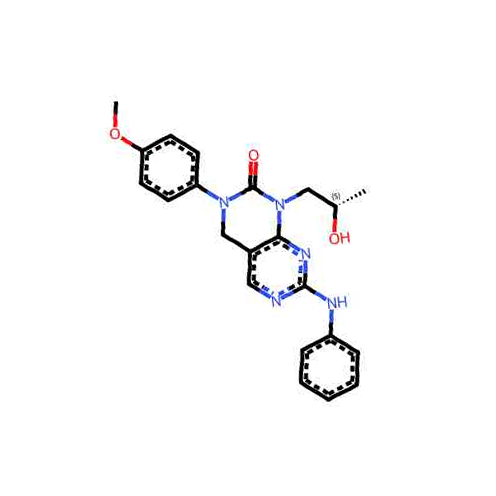 COc1ccc(N2Cc3cnc(Nc4ccccc4)nc3N(C[C@H](C)O)C2=O)cc1